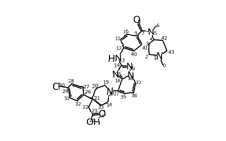 CN1CCC(N(C)C(=O)c2ccc(Nc3nc4c(N5CCC(CC(=O)O)(c6ccc(Cl)cc6)CC5)cccn4n3)cc2)CC1